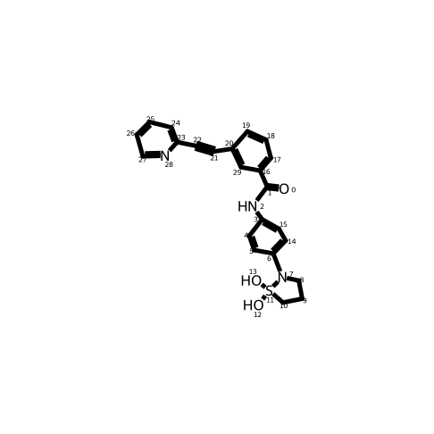 O=C(Nc1ccc(N2CCCS2(O)O)cc1)c1cccc(C#Cc2ccccn2)c1